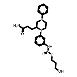 NC(=O)CCC1CN(c2ccccc2)CCN1c1cccc(NS(=O)OCCCO)c1